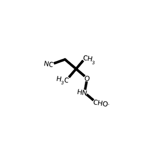 CC(C)(CC#N)ON[C]=O